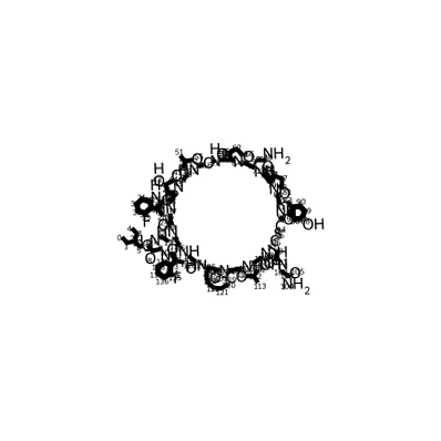 CCC(CC)COC(=O)Cn1cc(C[C@@H]2NC(=O)[C@H](CCN)NC(=O)[C@H](Cc3c[nH]c4cccc(F)c34)NC(=O)[C@@H]3C[C@@H](O)CN3C(=O)[C@H](CC(C)C)NC(=O)CNC(=O)[C@H]3CCCN3C(=O)[C@@H](CC(N)=O)NC(=O)[C@@H]3CCCN3C(=O)[C@H](Cc3ccc(O)cc3)NC(=O)CSC[C@@H](CC(=O)NCC(N)=O)N(C)C(O)[C@H](CC(C)C)NC(=O)C3CCCCCCC(NC2=O)C(=O)N3C)c2c(F)cccc21